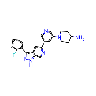 NC1CCN(c2cncc(-c3cc4c(-c5ccccc5F)n[nH]c4cn3)c2)CC1